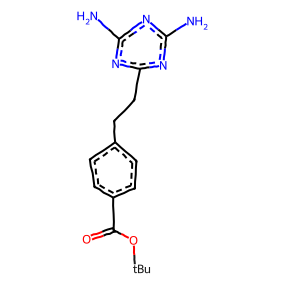 CC(C)(C)OC(=O)c1ccc(CCc2nc(N)nc(N)n2)cc1